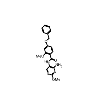 COc1ncc(NC(=O)c2ccc(OCc3ccccc3)cc2OC)c(N)n1